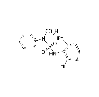 CC(C)c1cccc(C(C)C)c1NS(=O)(=O)N(C(=O)O)c1ccccc1